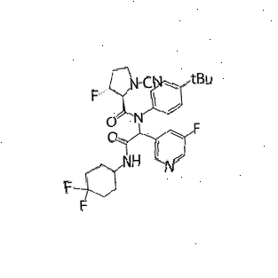 CC(C)(C)c1ccc(N(C(=O)[C@H]2[C@H](F)CCN2C#N)C(C(=O)NC2CCC(F)(F)CC2)c2cncc(F)c2)cc1